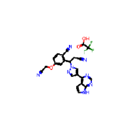 N#CCOc1ccc(C#N)c(C(CC#N)n2cc(-c3ncnc4[nH]ccc34)cn2)c1.O=C(O)C(F)(F)F